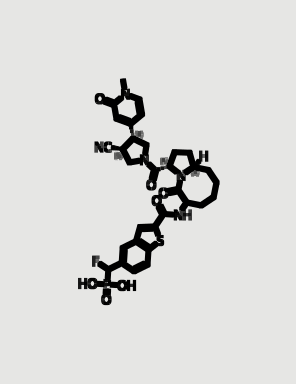 Cn1ccc([C@@H]2CN(C(=O)[C@@H]3CC[C@@H]4CCCCC(NC(=O)c5cc6cc(C(F)P(=O)(O)O)ccc6s5)C(=O)N43)C[C@H]2C#N)cc1=O